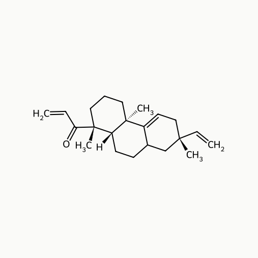 C=CC(=O)[C@]1(C)CCC[C@@]2(C)C3=CC[C@](C)(C=C)CC3CC[C@H]12